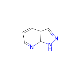 [C]1=CC2C=NNC2N=C1